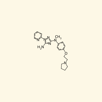 CN(c1ccc(OCCN2CCCC2)cc1)c1nc(N)n(-c2ccccn2)n1